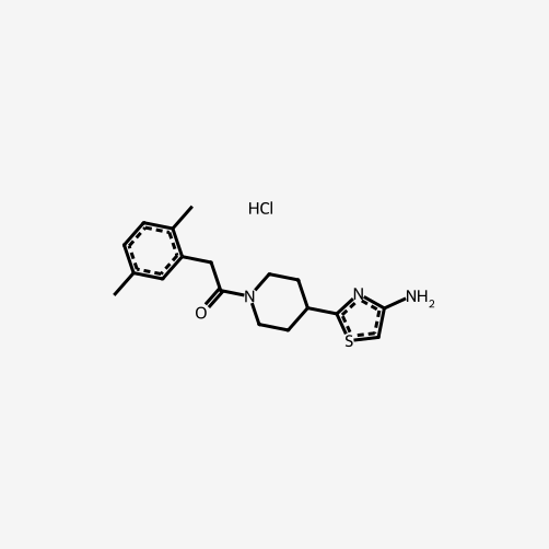 Cc1ccc(C)c(CC(=O)N2CCC(c3nc(N)cs3)CC2)c1.Cl